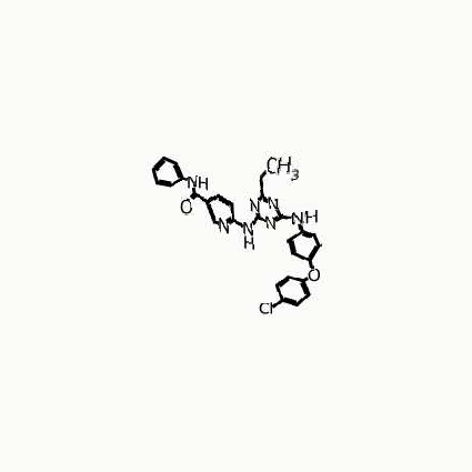 CCc1nc(Nc2ccc(Oc3ccc(Cl)cc3)cc2)nc(Nc2ccc(C(=O)Nc3ccccc3)cn2)n1